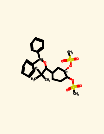 CC(C)(C)C(O[SiH](c1ccccc1)c1ccccc1)C1CCC(OS(C)(=O)=O)[C@@H](OS(C)(=O)=O)C1